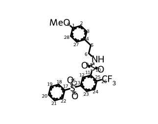 COc1ccc(CCNS(=O)(=O)c2cc(S(=O)(=O)c3ccccc3)ccc2C(F)(F)F)cc1